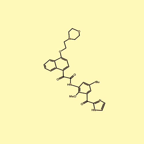 COc1c(NC(=O)C(=O)c2ccc(OCCN3CCOCC3)c3ccccc23)cc(C(C)(C)C)cc1C(=O)c1ncc[nH]1